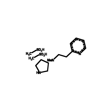 C1CCNC1.CNCCc1ccccn1.CS(=O)(=O)O.CS(=O)(=O)O